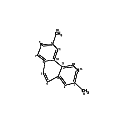 Cc1cc2ccc3cnc(C)cc3c2cn1